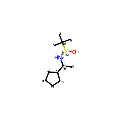 C[C@H](N[S@+]([O-])C(C)(C)C)C1CCCC1